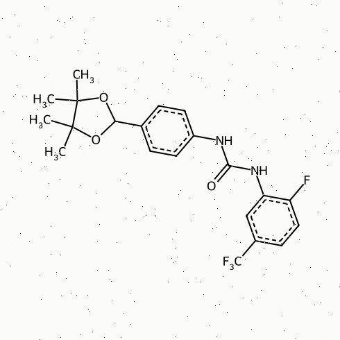 CC1(C)OC(c2ccc(NC(=O)Nc3cc(C(F)(F)F)ccc3F)cc2)OC1(C)C